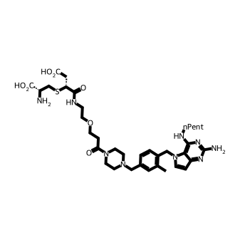 CCCCCNc1nc(N)nc2ccn(Cc3ccc(CN4CCN(C(=O)CCOCCNC(=O)[C@@H](CC(=O)O)SC[C@H](N)C(=O)O)CC4)cc3C)c12